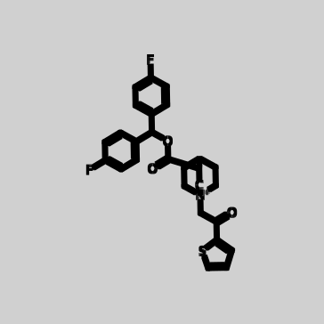 O=C(C[N+]12CCC(CC1)C(C(=O)OC(c1ccc(F)cc1)c1ccc(F)cc1)C2)c1cccs1